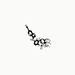 CC1(c2cc(Nc3csc4cc(C#N)cnc34)ccc2F)CS(O)(O)C(C)(C)C(N)=N1